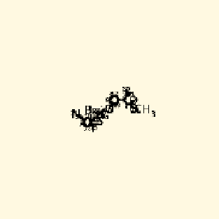 COC(=O)CC(c1cccc(OCc2csc(-c3cc(C#N)ccc3F)c2Br)c1)C1CC1